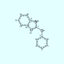 [c]1ccccc1Oc1nc2ccccc2o1